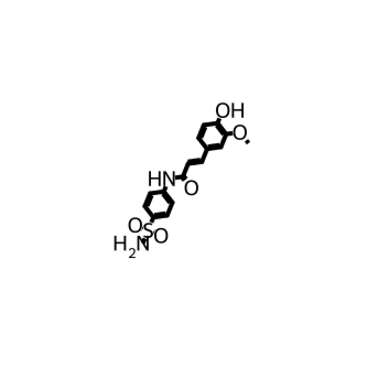 COc1cc(C=CC(=O)Nc2ccc(S(N)(=O)=O)cc2)ccc1O